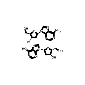 Nc1ncnc2c1ncn2[C@H]1C[C@H](O)[C@@H](CO)O1.OC[C@H]1O[C@@H](n2cnc3c(O)ncnc32)C[C@@H]1O